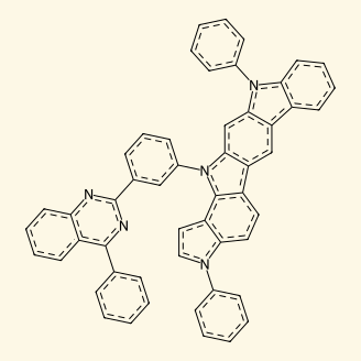 c1ccc(-c2nc(-c3cccc(-n4c5cc6c(cc5c5ccc7c(ccn7-c7ccccc7)c54)c4ccccc4n6-c4ccccc4)c3)nc3ccccc23)cc1